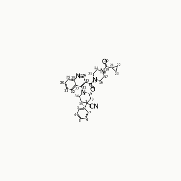 N#CC1(c2ccccc2)CCN(c2c(C(=O)N3CCN(C(=O)C4CC4)CC3)cnc3ccccc23)CC1